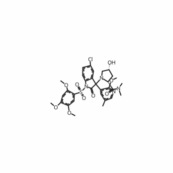 COc1cc(OC)c(S(=O)(=O)N2C(=O)C(c3cc(C)cnc3OC)(N3C[C@H](O)C[C@H]3C(=O)N(C)C)c3cc(Cl)ccc32)cc1OC